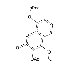 CCCCCCCCCCOc1cccc2c(OC(C)C)c(OC(C)=O)c(=O)oc12